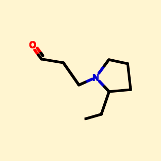 CCC1CCCN1CCC=O